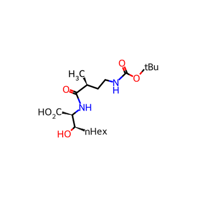 CCCCCC[C@@H](O)[C@H](NC(=O)[C@@H](C)CCNC(=O)OC(C)(C)C)C(=O)O